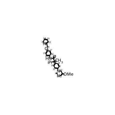 COC1=CN=CN(c2ccc(C(C)(C(=O)Nc3ccc(OCc4ccccn4)cc3)C(C)C)cc2)C1